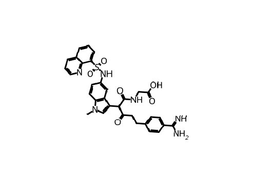 Cn1cc(C(C(=O)CCc2ccc(C(=N)N)cc2)C(=O)NCC(=O)O)c2cc(NS(=O)(=O)c3cccc4cccnc34)ccc21